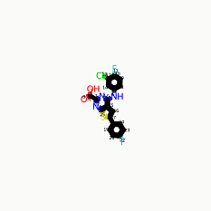 O=C(O)c1nc(Nc2ccc(F)c(Cl)c2)c2cc(-c3ccc(F)cc3)sc2n1